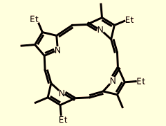 CCC1=C(C)C2=NC1=CC1=NC(=CC3=NC(=CC4=NC(=C2)C(C)=C4CC)C(C)=C3CC)C(CC)=C1C